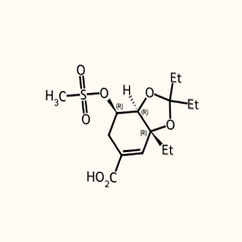 CCC1(CC)O[C@@H]2[C@H](OS(C)(=O)=O)CC(C(=O)O)=C[C@@]2(CC)O1